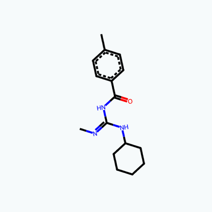 C/N=C(\NC(=O)c1ccc(C)cc1)NC1CCCCC1